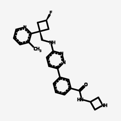 Cc1cccnc1[C@]1(CNc2ccc(-c3cccc(C(=O)NC4CNC4)c3)nn2)C[C@@H](F)C1